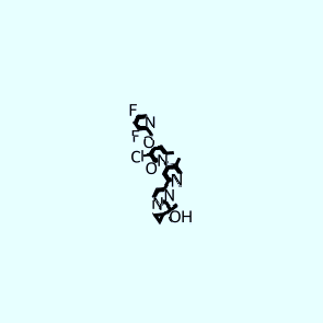 Cc1cnc(-c2ccnc(C(C)(O)C3CC3)n2)cc1-n1c(C)cc(OCc2ncc(F)cc2F)c(Cl)c1=O